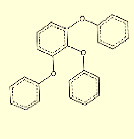 [c]1ccc(Oc2ccccc2)c(Oc2ccccc2)c1Oc1ccccc1